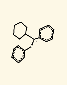 [c]1ccc([C@@H](Oc2ccccc2)C2CCCCC2)cc1